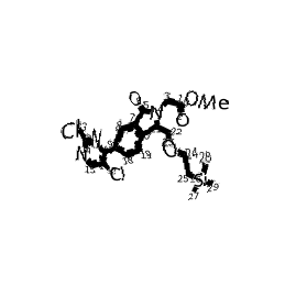 COC(=O)CN1C(=O)c2cc(-c3nc(Cl)ncc3Cl)ccc2C1COCC[Si](C)(C)C